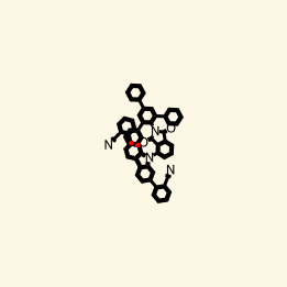 N#Cc1ccccc1-c1ccc2c3ccc(-c4ccccc4C#N)cc3n(-c3cccc4c3C(=O)N(c3c(-c5ccccc5)cc(-c5ccccc5)cc3-c3ccccc3)C4=O)c2c1